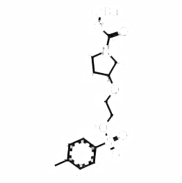 Cc1ccc(S(=O)(=O)OCCOC2CCN(C(=O)OC(C)(C)C)C2)cc1